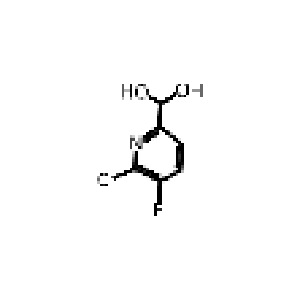 OC(O)c1ccc(F)c(Cl)n1